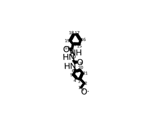 [O]CCc1ccc(NC(=O)NNC(=O)c2ccccc2)cc1